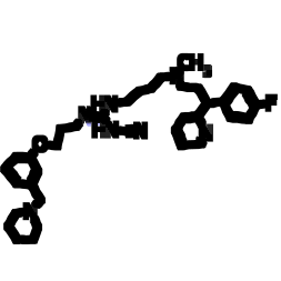 CN(CCCCN/C(=N/CCCOc1cccc(CN2CCCCC2)c1)NC#N)CCC(c1ccc(F)cc1)c1ccccn1